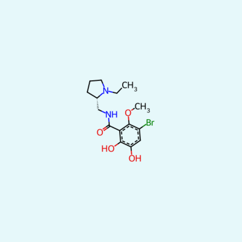 CCN1CCC[C@H]1CNC(=O)c1c(O)c(O)cc(Br)c1OC